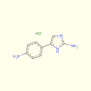 Cl.Nc1ccc(-c2cnc(N)[nH]2)cc1